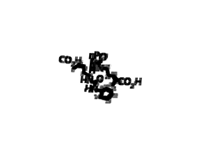 C/C(=C\CCNC(=O)Nc1ccccc1)C(=O)O.CCCNC(=O)NCC/C=C(\C)C(=O)O